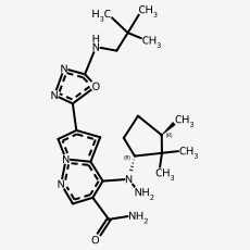 C[C@@H]1CC[C@@H](N(N)c2c(C(N)=O)cnn3cc(-c4nnc(NCC(C)(C)C)o4)cc23)C1(C)C